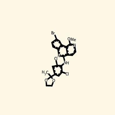 COc1nccc2c(Nc3c(Cl)cc(C4(C)OCCO4)cc3Cl)nc3ccc(Br)cc3c12